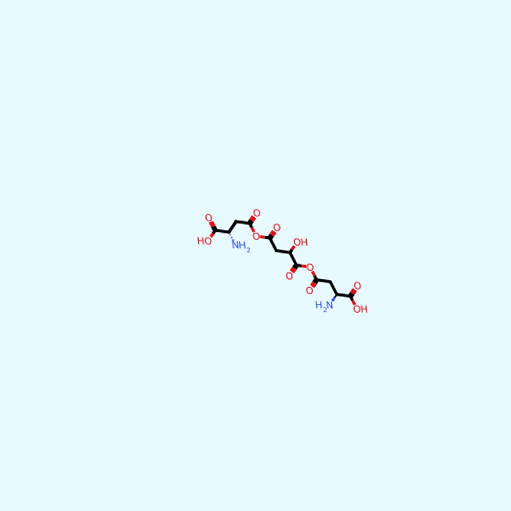 N[C@@H](CC(=O)OC(=O)CC(O)C(=O)OC(=O)C[C@H](N)C(=O)O)C(=O)O